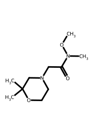 CON(C)C(=O)CN1CCOC(C)(C)C1